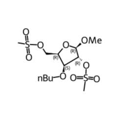 CCCCO[C@@H]1[C@@H](OS(C)(=O)=O)[C@H](OC)O[C@@H]1COS(C)(=O)=O